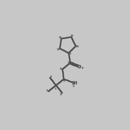 CC(C)(C)C(S)CC(=O)C1CCCC1